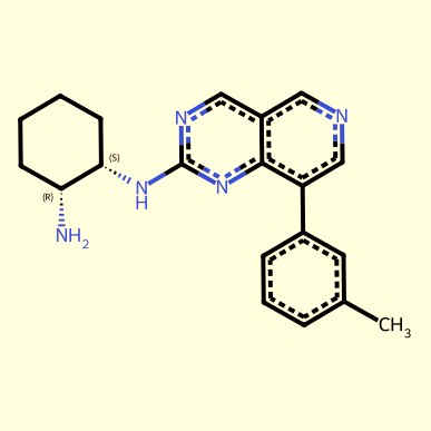 Cc1cccc(-c2cncc3cnc(N[C@H]4CCCC[C@H]4N)nc23)c1